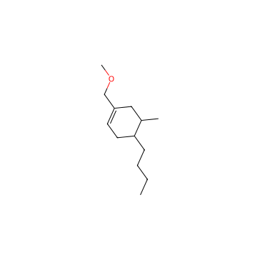 CCCCC1CC=C(COC)CC1C